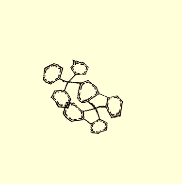 c1ccc(C(c2ccccc2)(c2ccccc2)c2ccc3c(c2)C2(c4ccccc4-c4ccccc42)c2ccccc2-3)cc1